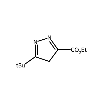 CCOC(=O)C1=NN=C(C(C)(C)C)C1